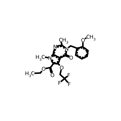 CCOC(=O)c1c(OCC(F)(F)F)c2c(=O)n(Cc3ccccc3OC)c(C)nc2n1C